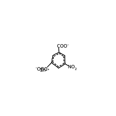 O=C([O-])c1cc(C(=O)[O-])cc([N+](=O)[O-])c1.[Zn+2]